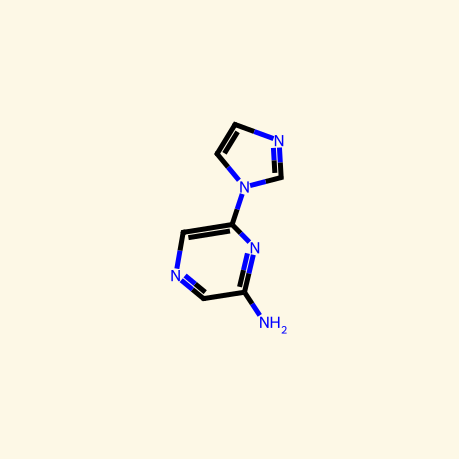 Nc1cncc(-n2ccnc2)n1